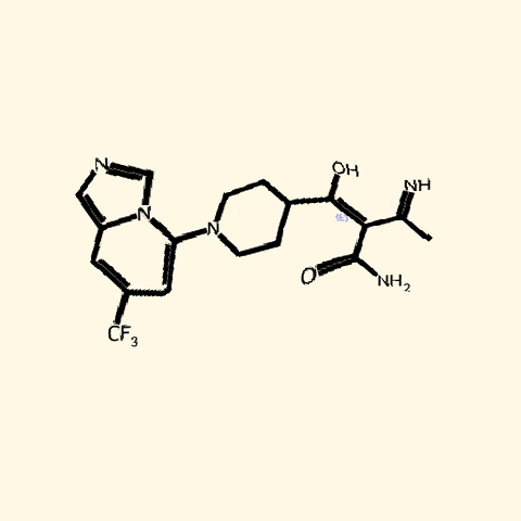 CC(=N)/C(C(N)=O)=C(\O)C1CCN(c2cc(C(F)(F)F)cc3cncn23)CC1